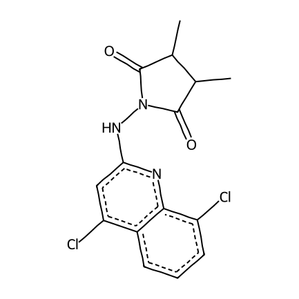 CC1C(=O)N(Nc2cc(Cl)c3cccc(Cl)c3n2)C(=O)C1C